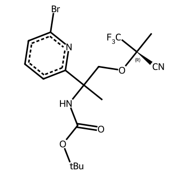 CC(C)(C)OC(=O)NC(C)(CO[C@](C)(C#N)C(F)(F)F)c1cccc(Br)n1